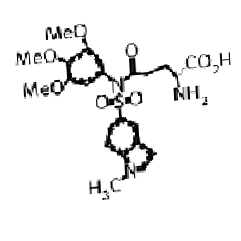 COc1cc(N(C(=O)CC[C@@H](N)C(=O)O)S(=O)(=O)c2ccc3c(ccn3C)c2)cc(OC)c1OC